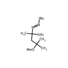 COC(C)(C)CC(C)(N=NC(C)(C)C)OC(C)=O